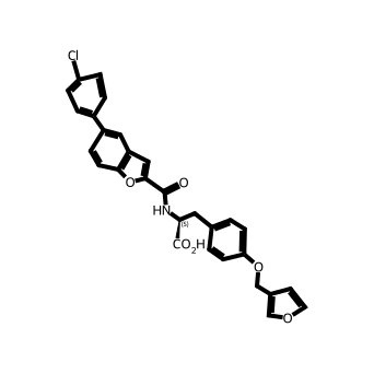 O=C(N[C@@H](Cc1ccc(OCc2ccoc2)cc1)C(=O)O)c1cc2cc(-c3ccc(Cl)cc3)ccc2o1